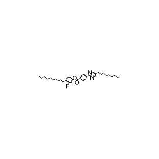 CCCCCCCCCCc1ccc(OC(=O)c2ccc(-c3ncc(CCCCCCCCC)cn3)cc2)cc1F